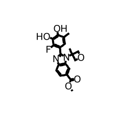 COC(=O)c1ccc2nc(-c3cc(C)c(O)c(O)c3F)n(C3(C)COC3)c2c1